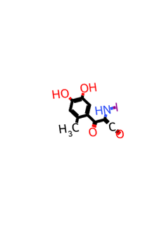 Cc1cc(O)c(O)cc1C(=O)C(=C=O)NI